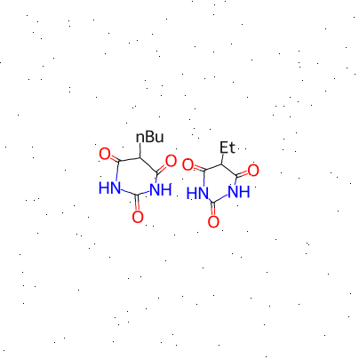 CCC1C(=O)NC(=O)NC1=O.CCCCC1C(=O)NC(=O)NC1=O